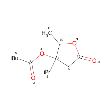 CCC(C)C(=O)OC1(C(C)C)CC(=O)OC1C